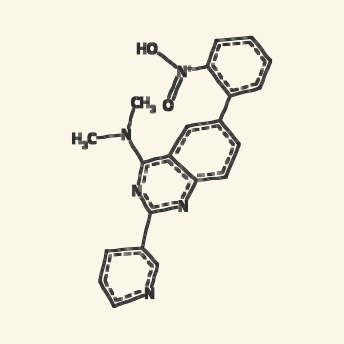 CN(C)c1nc(-c2cccnc2)nc2ccc(-c3ccccc3[N+](=O)O)cc12